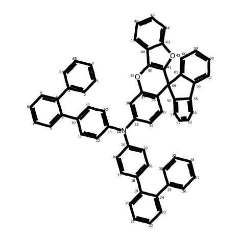 c1ccc(-c2ccccc2-c2ccc(N(c3ccc(-c4ccccc4-c4ccccc4)cc3)c3ccc4c(c3)Oc3c(oc5ccccc35)C43c4ccccc4-c4ccccc43)cc2)cc1